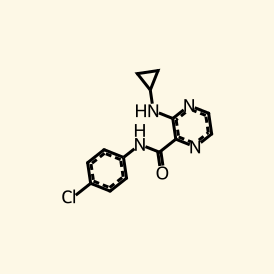 O=C(Nc1ccc(Cl)cc1)c1nccnc1NC1CC1